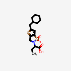 CCC(C(=O)O)N1Cc2sc(CC3CCCCC3)cc2S1(=O)=O